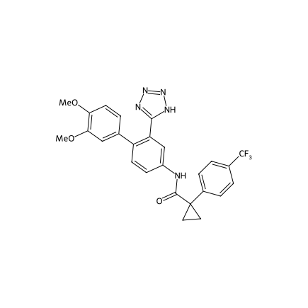 COc1ccc(-c2ccc(NC(=O)C3(c4ccc(C(F)(F)F)cc4)CC3)cc2-c2nnn[nH]2)cc1OC